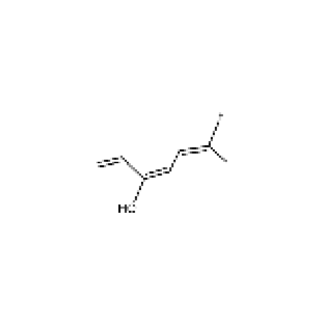 C=C/C(O)=C\C=C(/C)F